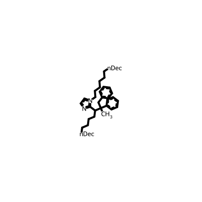 CCCCCCCCCCCCCCCCn1ccnc1C(CCCCCCCCCCCCCC)C(C)(Cc1ccccc1)c1ccccc1